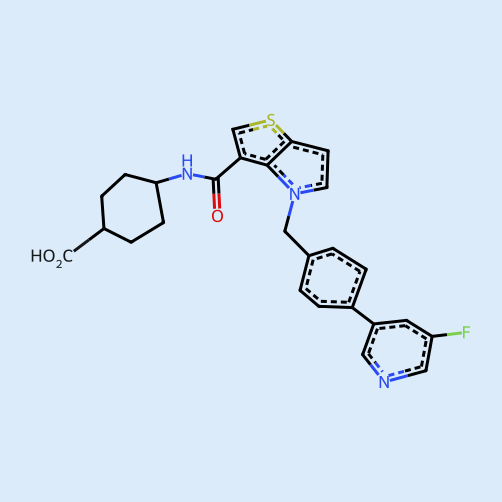 O=C(NC1CCC(C(=O)O)CC1)c1csc2ccn(Cc3ccc(-c4cncc(F)c4)cc3)c12